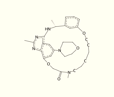 Cc1nc2c3cc(N4CCOCC4)cc(c3n1)OCC(=O)N(C)CCCCCCOc1cccc(c1)[C@@H](C)N2